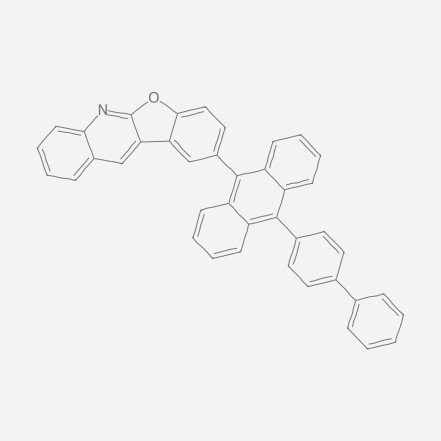 c1ccc(-c2ccc(-c3c4ccccc4c(-c4ccc5oc6nc7ccccc7cc6c5c4)c4ccccc34)cc2)cc1